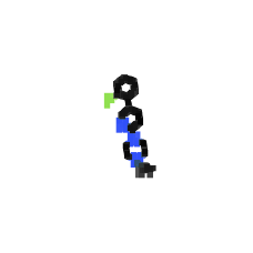 CC(C)N1CCN(c2ccc(-c3ccccc3F)cn2)CC1